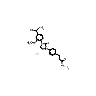 COC(=O)CCc1ccc(N2CCN(c3ccc(C(=N)N)cc3OC)C2=O)cc1.Cl